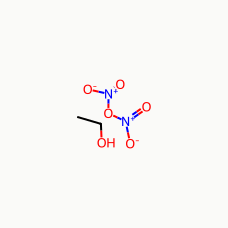 CCO.O=[N+]([O-])O[N+](=O)[O-]